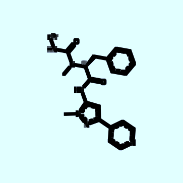 CCCNC(=O)N(C)[C@@H](Cc1ccccc1)C(=O)Nc1cc(-c2ccncc2)nn1C